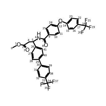 COC(=O)CC(NC(=O)c1ccc(Oc2ccc(C(F)(F)F)cc2)cc1)c1ccc(-c2ccc(C(F)(F)F)cc2)cc1